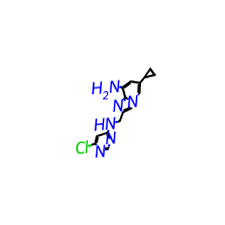 Nc1cc(C2CC2)cn2cc(CNc3cc(Cl)ncn3)nc12